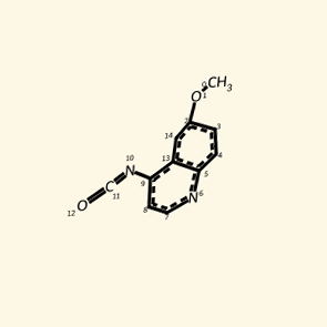 COc1ccc2nccc(N=C=O)c2c1